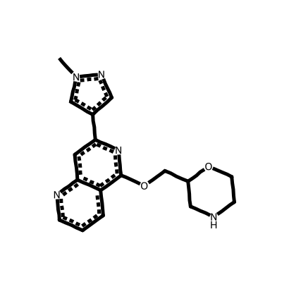 Cn1cc(-c2cc3ncccc3c(OCC3CNCCO3)n2)cn1